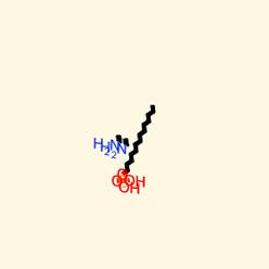 C=CN.C=CN.CCCCCCCCCCCCCCOP(=O)(O)O